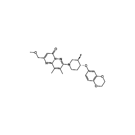 COCc1cc(=O)n2nc(N3CC[C@@H](Oc4ccc5c(c4)OCCO5)[C@H](F)C3)c(C)c(C)c2n1